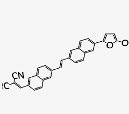 COc1ccc(-c2ccc3cc(/C=C/c4ccc5cc(C=C(C#N)C#N)ccc5c4)ccc3c2)o1